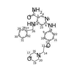 NC(=O)c1cnc(Nc2ccc(OCCN3CCOCC3)cc2)cc1NCc1ccccc1